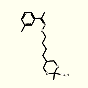 C/C(=N/OCCCCC1COC(C)(C(=O)O)OC1)c1cccc(C)c1